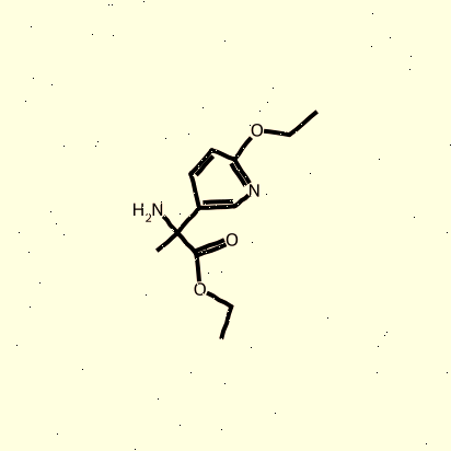 CCOC(=O)C(C)(N)c1ccc(OCC)nc1